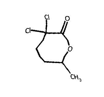 CC1CCC(Cl)(Cl)C(=O)O1